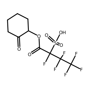 O=C1CCCCC1OC(=O)C(F)(C(F)(F)C(F)(F)F)S(=O)(=O)O